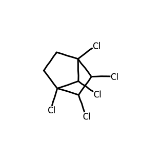 ClC1C(Cl)C2(Cl)CCC1(Cl)C2Cl